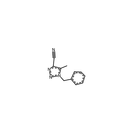 Cc1c(C#N)nnn1Cc1ccccc1